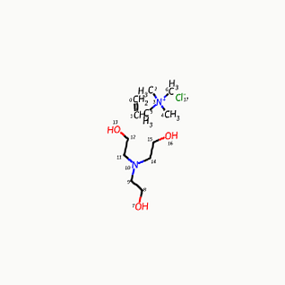 C=C.C[N+](C)(C)C.OCCN(CCO)CCO.[Cl-]